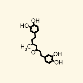 C[C@@H](CCc1ccc(O)c(O)c1)CC(=O)CCc1ccc(O)c(O)c1